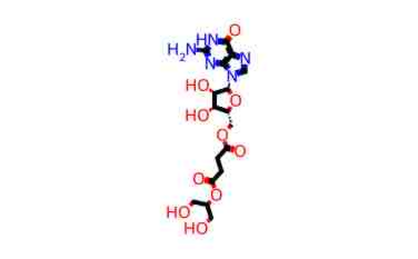 Nc1nc2c(ncn2[C@@H]2O[C@H](COC(=O)CCC(=O)OC(CO)CO)[C@@H](O)[C@H]2O)c(=O)[nH]1